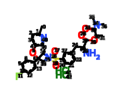 Cc1ccc(OC2(c3ccc(F)cc3)CN(S(=O)(=O)c3cccc(C[C@H](N)C(=O)OC(C)C(=O)N(C)C)c3)C2)cn1.Cl.Cl